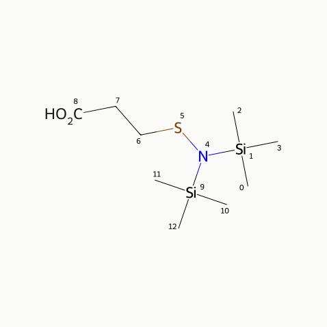 C[Si](C)(C)N(SCCC(=O)O)[Si](C)(C)C